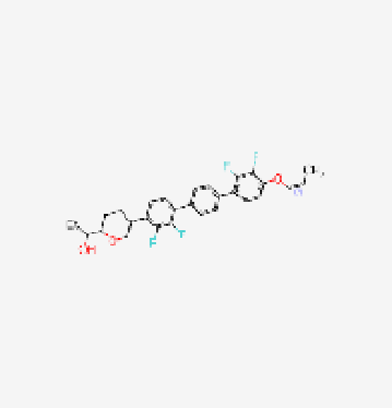 C/C=C\Oc1ccc(-c2ccc(-c3ccc(C4CCC(C(O)CC)OC4)c(F)c3F)cc2)c(F)c1F